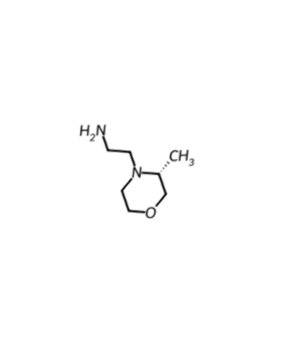 C[C@@H]1COCCN1CCN